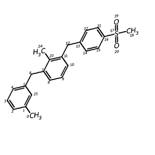 Cc1cccc(Cc2cccc(Cc3ccc(S(C)(=O)=O)cc3)c2C)c1